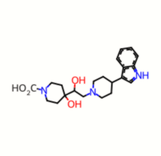 O=C(O)N1CCC(O)(C(O)CN2CCC(c3c[nH]c4ccccc34)CC2)CC1